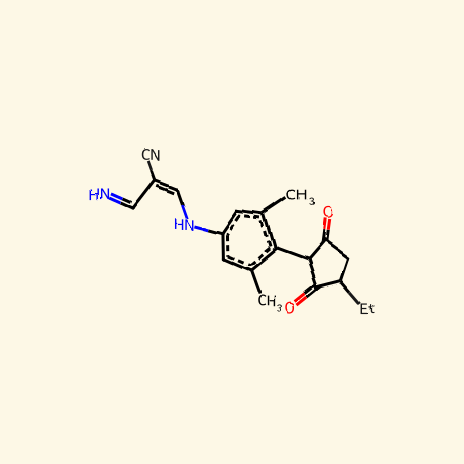 CCC1CC(=O)C(c2c(C)cc(N/C=C(/C#N)C=N)cc2C)C1=O